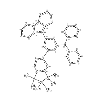 CC1(C)c2ccc(-c3cc(N(c4ccccc4)c4ccccc4)cc(-n4c5ccccc5c5ccccc54)c3)cc2C(C)(C)C1(C)C